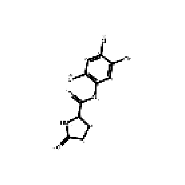 O=C1CCC(C(=O)Oc2cc(Cl)c(Cl)cc2Cl)N1